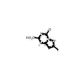 CCOC(=O)c1nc(Cl)n2nc(C)cc2n1